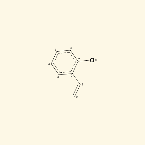 C=Cc1c[c]ccc1Cl